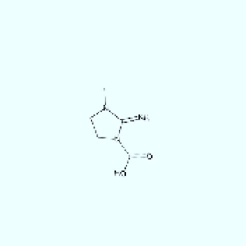 CN1CCN(C(=O)O)C1=N